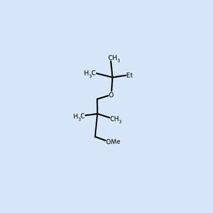 CCC(C)(C)OCC(C)(C)COC